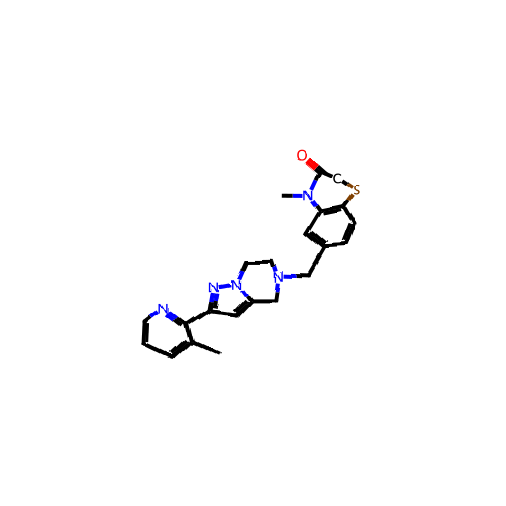 Cc1cccnc1-c1cc2n(n1)CCN(Cc1ccc3c(c1)N(C)C(=O)CS3)C2